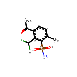 COC(=O)c1ccc(C)c(S(N)(=O)=O)c1C(F)F